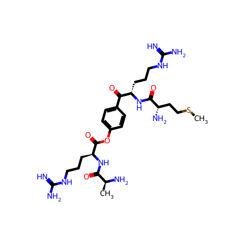 CSCC[C@H](N)C(=O)N[C@@H](CCCNC(=N)N)C(=O)c1ccc(OC(=O)[C@H](CCCNC(=N)N)NC(=O)[C@H](C)N)cc1